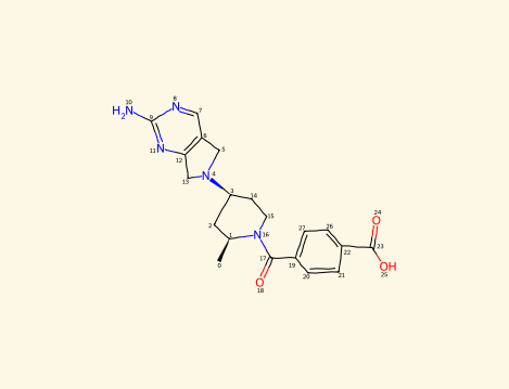 C[C@H]1C[C@@H](N2Cc3cnc(N)nc3C2)CCN1C(=O)c1ccc(C(=O)O)cc1